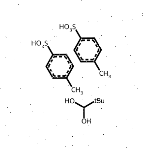 CC(C)(C)C(O)O.Cc1ccc(S(=O)(=O)O)cc1.Cc1ccc(S(=O)(=O)O)cc1